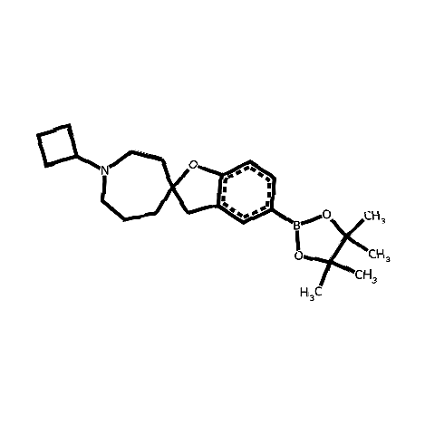 CC1(C)OB(c2ccc3c(c2)CC2(CCCN(C4CCC4)CC2)O3)OC1(C)C